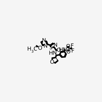 CCOc1cncc(-c2cnc(C(=O)N[C@H](c3cccc(NS(=O)(=O)C(F)F)c3)[C@H]3CCOC3)s2)n1